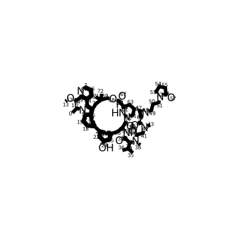 CCn1c(-c2cccnc2[C@H](C)OC)c2c3cc(ccc31)-c1cc(O)cc(c1)C[C@H](NC(=O)C(C(C)C)N(C)C(=O)CN(C)C(=O)[C@H]1CN1CCCN1CCCC1=O)C(=O)N1CCC[C@H](N1)C(=O)OCC(C)(C)C2